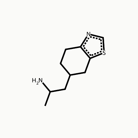 CC(N)CC1CCc2ncsc2C1